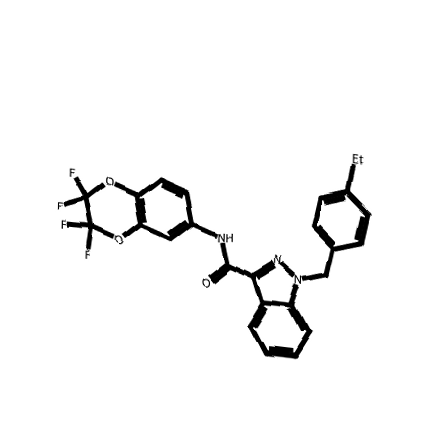 CCc1ccc(Cn2nc(C(=O)Nc3ccc4c(c3)OC(F)(F)C(F)(F)O4)c3ccccc32)cc1